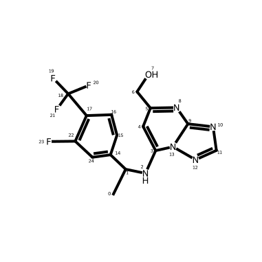 CC(Nc1cc(CO)nc2ncnn12)c1ccc(C(F)(F)F)c(F)c1